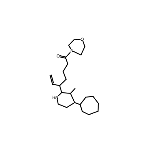 C=CC(CCCC(=O)N1CCOCC1)C1NCCC(C2CCCCCC2)C1C